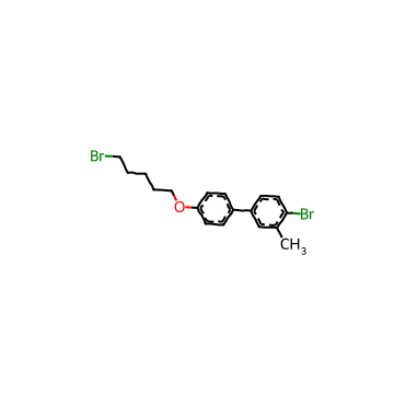 Cc1cc(-c2ccc(OCCCCCBr)cc2)ccc1Br